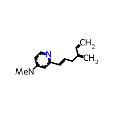 C=CC(=C)C/C=C/c1cc(NC)ccn1